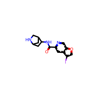 O=C(NC1CC2CC1CN2)c1cc2c(I)coc2cn1